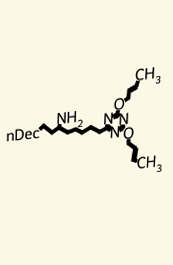 CC=CCOc1nc(CCCCCC(N)CCCCCCCCCCCC)nc(OCC=CC)n1